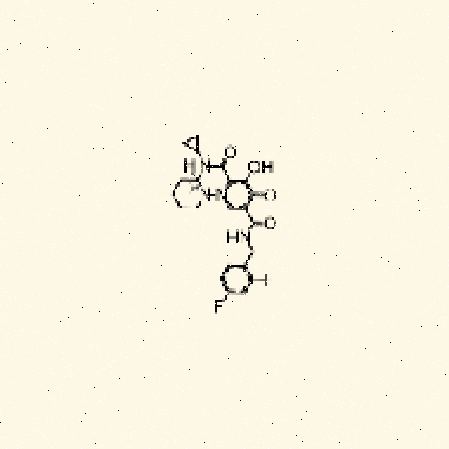 O=C(NCc1ccc(F)cc1F)c1cn2c(c(O)c1=O)C(=O)N(C1CC1)[C@@H]1CCCCN12